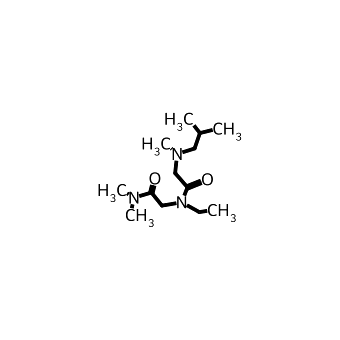 CCN(CC(=O)N(C)C)C(=O)CN(C)CC(C)C